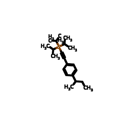 CCC(C)c1ccc(C#CS(C(C)C)(C(C)C)C(C)C)cc1